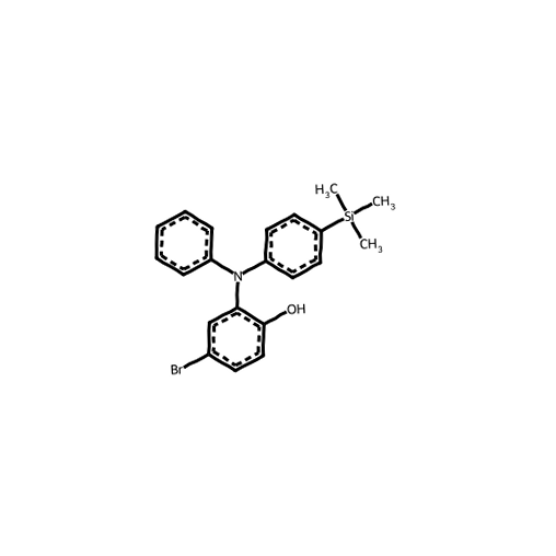 C[Si](C)(C)c1ccc(N(c2ccccc2)c2cc(Br)ccc2O)cc1